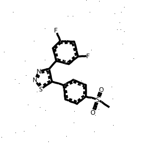 CS(=O)(=O)c1ccc(-c2snnc2-c2cc(F)cc(F)c2)cc1